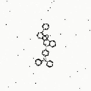 C1=CC2C(c3ccc(N(c4ccccc4)c4ccccc4)cc3)=Cc3c(oc4c(-c5ccccc5)cccc34)C2C=C1